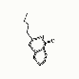 CCCCc1cc2ccccc2c(=O)[nH]1